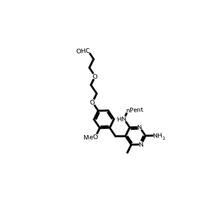 CCCCCNc1nc(N)nc(C)c1Cc1ccc(OCCOCCC=O)cc1OC